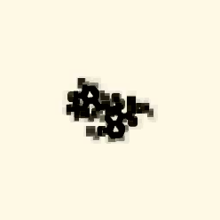 CNC(=O)C(NOC)c1cccc(C)c1CO/N=C(\C)c1ccc(F)c(Cl)c1CC(F)(F)F